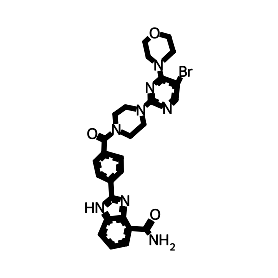 NC(=O)c1cccc2[nH]c(-c3ccc(C(=O)N4CCN(c5ncc(Br)c(N6CCOCC6)n5)CC4)cc3)nc12